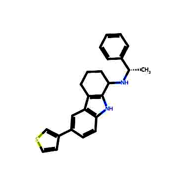 C[C@H](NC1CCCc2c1[nH]c1ccc(-c3ccsc3)cc21)c1ccccc1